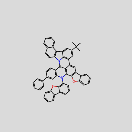 CC(C)(C)c1cc2c3c(c1)c1c4ccccc4ccc1n3B1c3ccc(-c4ccccc4)cc3N(c3cccc4c3oc3ccccc34)c3c1c-2cc1c3oc2ccccc21